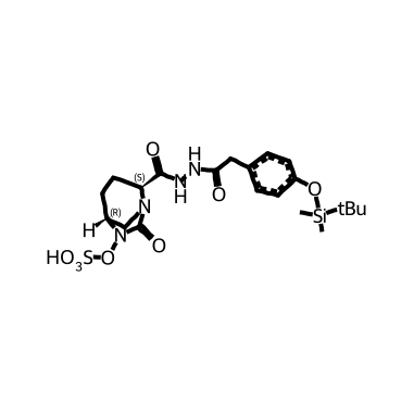 CC(C)(C)[Si](C)(C)Oc1ccc(CC(=O)NNC(=O)[C@@H]2CC[C@@H]3CN2C(=O)N3OS(=O)(=O)O)cc1